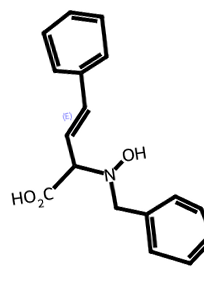 O=C(O)C(/C=C/c1ccccc1)N(O)Cc1ccccc1